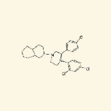 Clc1ccc(C2CN(C3CCC4CCCCC4C3)CCN2c2ccc(Cl)cc2Cl)cc1